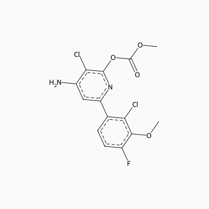 COC(=O)Oc1nc(-c2ccc(F)c(OC)c2Cl)cc(N)c1Cl